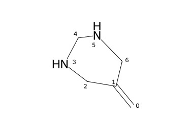 C=C1CNCNC1